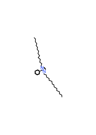 CCCCCCCCCCCCCCCN1C=CN(CCCCCCCCCCCCCCC)C1c1ccccc1